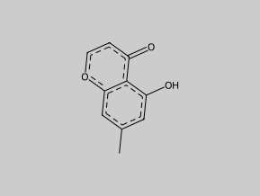 Cc1cc(O)c2c(=O)ccoc2c1